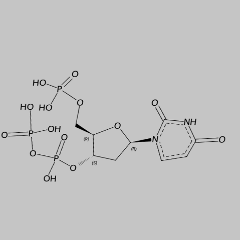 O=c1ccn([C@H]2C[C@H](OP(=O)(O)OP(=O)(O)O)[C@@H](COP(=O)(O)O)O2)c(=O)[nH]1